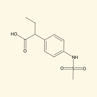 CCC(C(=O)O)c1ccc(NS(C)(=O)=O)cc1